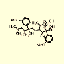 CCC(OP(=O)(O)O)(c1cccc(OC)c1)C(C)C(CC[C@](O)(c1cccc(OC)c1)[C@H](C)CN(C)C)N(C)C